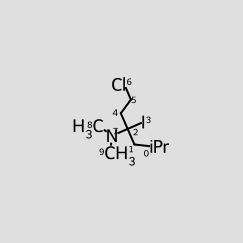 CC(C)CC(I)(CCCl)N(C)C